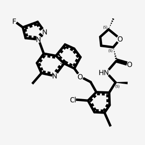 Cc1cc(Cl)c(COc2cccc3c(-n4cc(F)cn4)cc(C)nc23)c([C@H](C)NC(=O)[C@@H]2CC[C@H](C)O2)c1